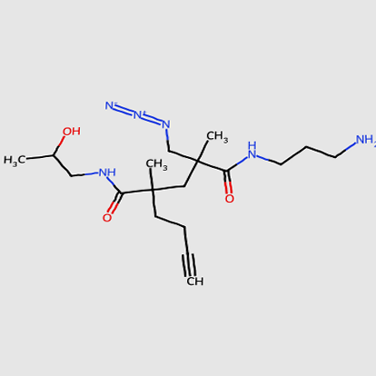 C#CCCC(C)(CC(C)(CN=[N+]=[N-])C(=O)NCCCN)C(=O)NCC(C)O